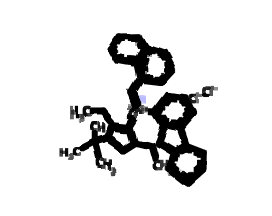 CCC1=[C](/[Zr+2](=[CH]/c2cccc3ccccc23)[c]2cccc3c2Cc2ccccc2-3)C(CC)C=C1C(C)(C)C.[Cl-].[Cl-]